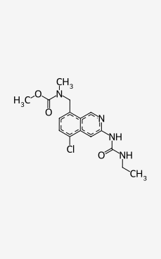 CCNC(=O)Nc1cc2c(Cl)ccc(CN(C)C(=O)OC)c2cn1